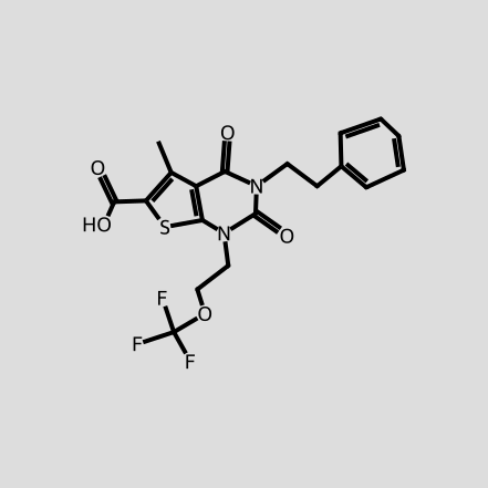 Cc1c(C(=O)O)sc2c1c(=O)n(CCc1ccccc1)c(=O)n2CCOC(F)(F)F